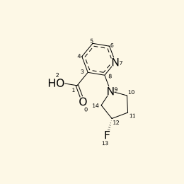 O=C(O)c1cccnc1N1CC[C@H](F)C1